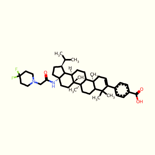 CC(C)[C@@H]1CC[C@]2(NC(=O)CN3CCC(F)(F)CC3)CC[C@]3(C)[C@H](CCC4[C@@]5(C)CC=C(c6ccc(C(=O)O)cc6)C(C)(C)C5CC[C@]43C)C12